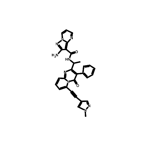 CC(NC(=O)c1c(N)nn2cccnc12)c1nc2cccc(C#Cc3cnn(C)c3)n2c(=O)c1-c1ccccc1